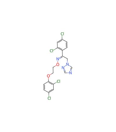 Clc1ccc(OCCON=C(Cn2cncn2)c2ccc(Cl)cc2Cl)c(Cl)c1